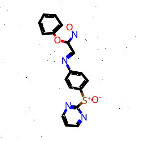 O=NC(C=Nc1ccc([S+]([O-])c2ncccn2)cc1)Oc1ccccc1